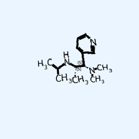 CC(C)N[C@@H](C)[C@H](c1cccnc1)N(C)C